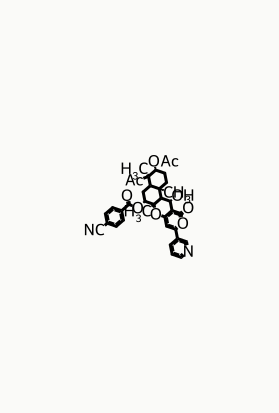 CC(=O)O[C@H]1CC[C@@]2(C)C(C[C@H](OC(=O)c3ccc(C#N)cc3)[C@@]3(C)Oc4cc(-c5cccnc5)oc(=O)c4[C@H](O)C23)C1(C)C(C)=O